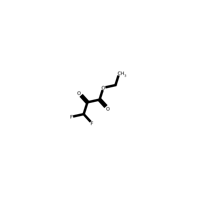 C[CH]OC(=O)C(=O)C(F)F